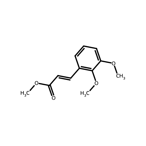 COC(=O)/C=C/c1cccc(OC)c1OC